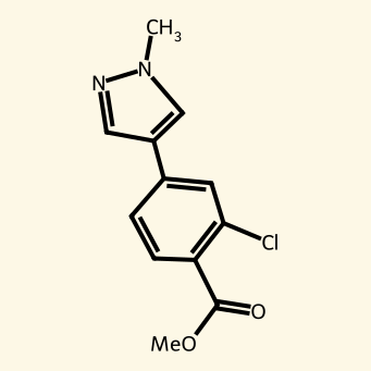 COC(=O)c1ccc(-c2cnn(C)c2)cc1Cl